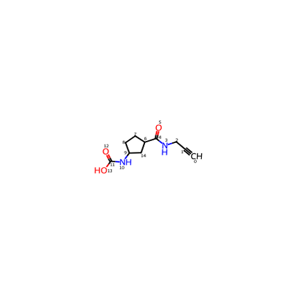 C#CCNC(=O)C1CCC(NC(=O)O)C1